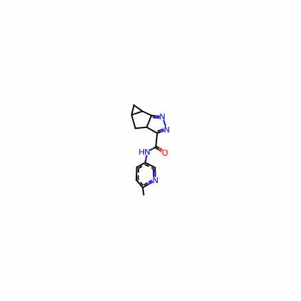 Cc1ccc(NC(=O)C2=NN=C3C2CC2CC32)cn1